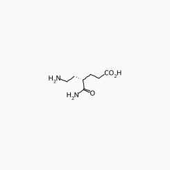 NCC[C@H](CCC(=O)O)C(N)=O